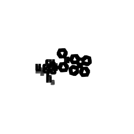 CC1(C)OB(c2cccc(N(c3ccccc3)c3ccc4c(c3)C(c3ccccc3)(c3ccccc3)c3ccccc3-4)c2)OC1(C)C